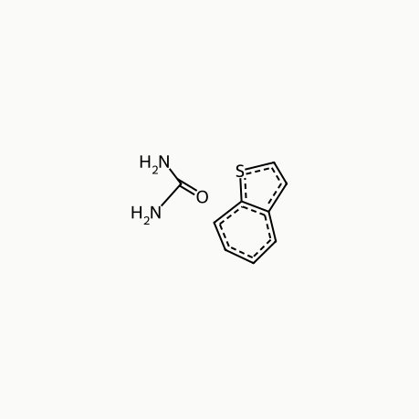 NC(N)=O.c1ccc2sccc2c1